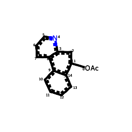 CC(=O)Oc1cc2ncccc2c2ccccc12